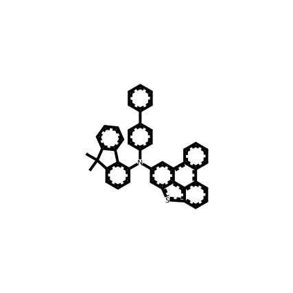 CC1(C)c2ccccc2-c2c(N(c3ccc(-c4ccccc4)cc3)c3cc4sc5cccc6c7ccccc7c(c3)c4c56)cccc21